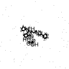 CN(c1ccccc1)C1c2ccccc2C(=O)N1CCCN1CC=C(c2ccccc2)CC1.O=C(O)C(=O)O